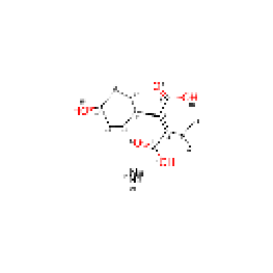 CC(C)C(C(=O)O)=C(C(=O)O)[C@H]1CC[C@@H](O)CC1.[Na].[Na]